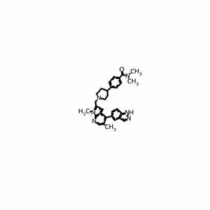 Cc1cnc2c(cc(CN3CCC(c4ccc(C(=O)N(C)C)cc4)CC3)n2C)c1-c1ccc2[nH]ncc2c1